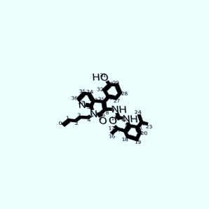 C=CCCCn1c(=O)c(NC(=O)Nc2c(C(C)C)cccc2C(C)C)c(-c2cccc(O)c2)c2cccnc21